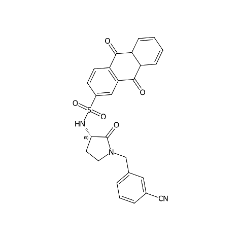 N#Cc1cccc(CN2CC[C@H](NS(=O)(=O)c3ccc4c(c3)C(=O)C3C=CC=CC3C4=O)C2=O)c1